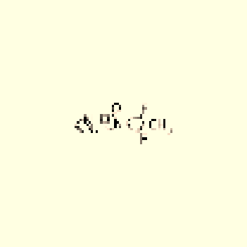 Cc1c(F)cc(N2C[C@H](Cn3cccn3)OC2=O)cc1F